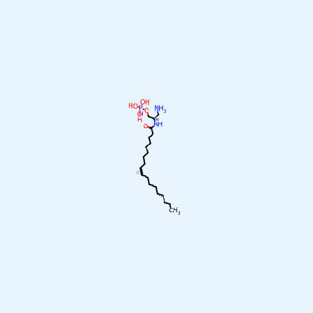 CCCCCCCC/C=C\CCCCCCCC(=O)N[C@H](CN)CO[PH](O)(O)O